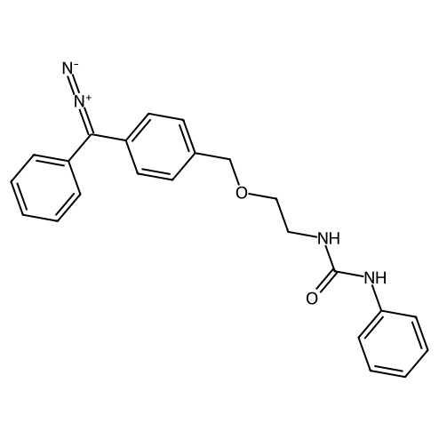 [N-]=[N+]=C(c1ccccc1)c1ccc(COCCNC(=O)Nc2ccccc2)cc1